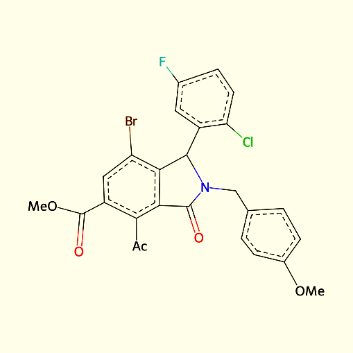 COC(=O)c1cc(Br)c2c(c1C(C)=O)C(=O)N(Cc1ccc(OC)cc1)C2c1cc(F)ccc1Cl